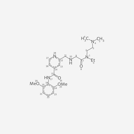 CCN(CCN(C)C)C(=O)CNCc1cc(C(=O)Nc2c(OC)cccc2OC)ccn1